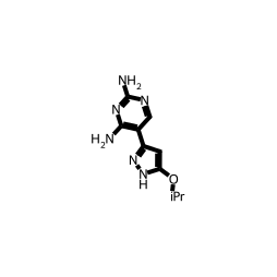 CC(C)Oc1cc(-c2cnc(N)nc2N)n[nH]1